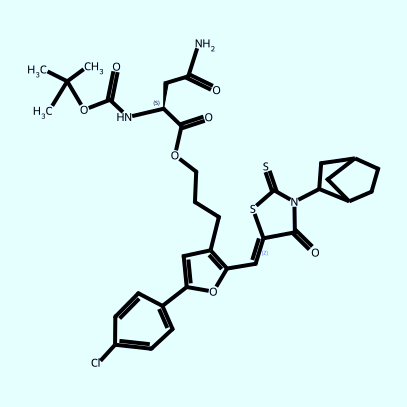 CC(C)(C)OC(=O)N[C@@H](CC(N)=O)C(=O)OCCCc1cc(-c2ccc(Cl)cc2)oc1/C=C1\SC(=S)N(C2CC3CCC2C3)C1=O